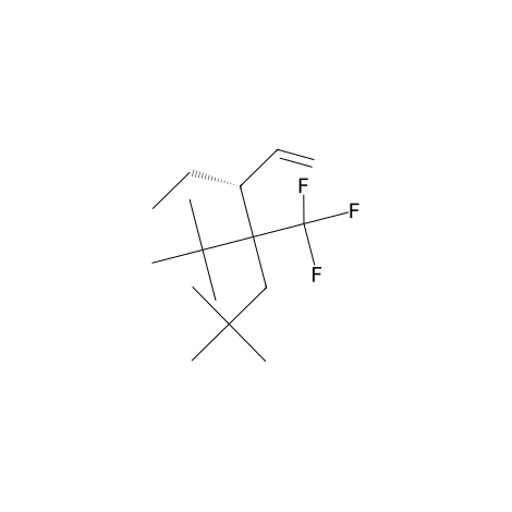 C=C[C@@H](CC)C(CC(C)(C)C)(C(C)(C)C)C(F)(F)F